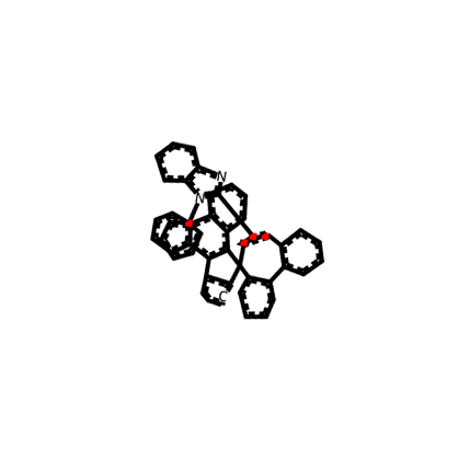 c1ccc(-n2c(-c3ccc4c(c3)C3(c5ccccc5-c5ccccc5-4)c4ccccc4-c4c3c3ccccc3c3ccccc43)nc3ccccc32)cc1